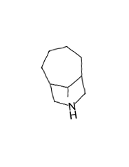 CC1C2CCCCC1CNC2